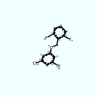 Fc1cccc(F)c1COc1cc(Cl)cc(Br)c1